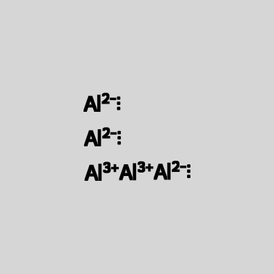 [Al+3].[Al+3].[Al-2].[Al-2].[Al-2]